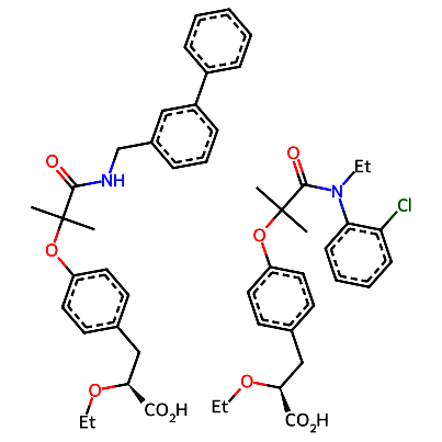 CCO[C@@H](Cc1ccc(OC(C)(C)C(=O)N(CC)c2ccccc2Cl)cc1)C(=O)O.CCO[C@@H](Cc1ccc(OC(C)(C)C(=O)NCc2cccc(-c3ccccc3)c2)cc1)C(=O)O